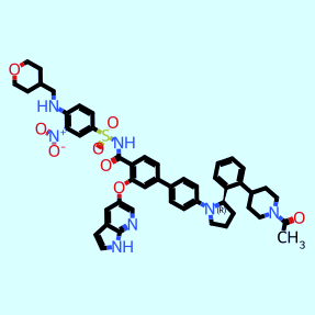 CC(=O)N1CCC(c2ccccc2[C@H]2CCCN2c2ccc(-c3ccc(C(=O)NS(=O)(=O)c4ccc(NCC5CCOCC5)c([N+](=O)[O-])c4)c(Oc4cnc5[nH]ccc5c4)c3)cc2)CC1